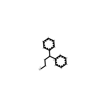 [Li][CH2]CC(c1ccccc1)c1ccccc1